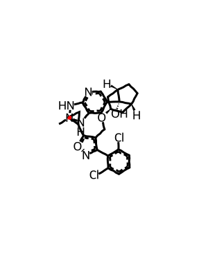 CN1Nc2cc([C@]3(O)[C@@H]4CC[C@H]3C[C@H](OCc3c(-c5c(Cl)cccc5Cl)noc3C3CC3)C4)cnc2N1